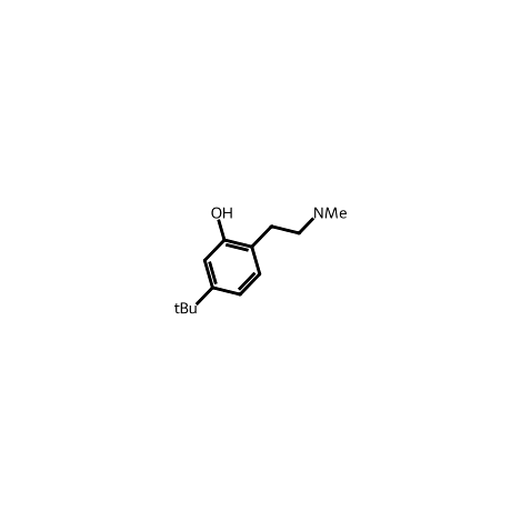 CNCCc1ccc(C(C)(C)C)cc1O